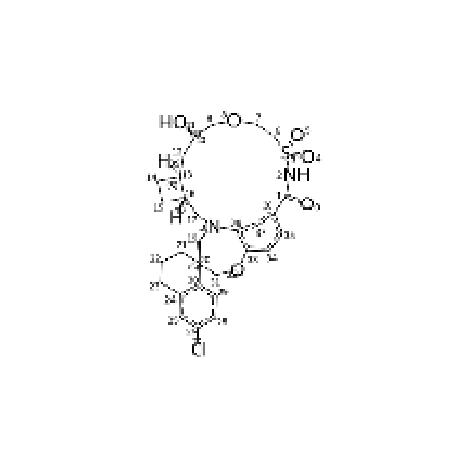 O=C1NS(=O)(=O)CCOC[C@H](O)C[C@@H]2CC[C@H]2CN2C[C@@]3(CCCc4cc(Cl)ccc43)COc3ccc1cc32